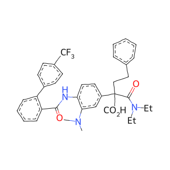 CCN(CC)C(=O)C(CCc1ccccc1)(C(=O)O)c1ccc(NC(=O)c2ccccc2-c2ccc(C(F)(F)F)cc2)c(N(C)C)c1